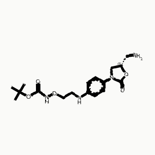 CC(C)(C)OC(=O)NOCCNc1ccc(N2C[C@H](CN)OC2=O)cc1